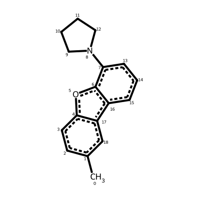 Cc1ccc2oc3c(N4CCCC4)cccc3c2c1